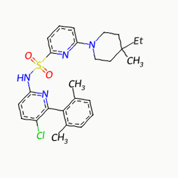 CCC1(C)CCN(c2cccc(S(=O)(=O)Nc3ccc(Cl)c(-c4c(C)cccc4C)n3)n2)CC1